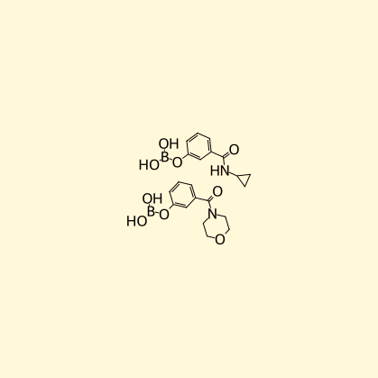 O=C(NC1CC1)c1cccc(OB(O)O)c1.O=C(c1cccc(OB(O)O)c1)N1CCOCC1